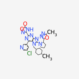 Cc1nnc(C2CCCN2c2nc3nc(-c4noc(=O)[nH]4)nc(-c4cncc(Cl)c4)c3n2CC2CCC(C)CC2)o1